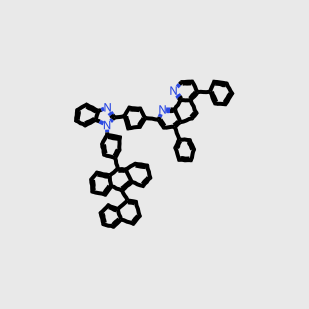 c1ccc(-c2ccnc3c2ccc2c(-c4ccccc4)cc(-c4ccc(-c5nc6ccccc6n5-c5ccc(-c6c7ccccc7c(-c7cccc8ccccc78)c7ccccc67)cc5)cc4)nc23)cc1